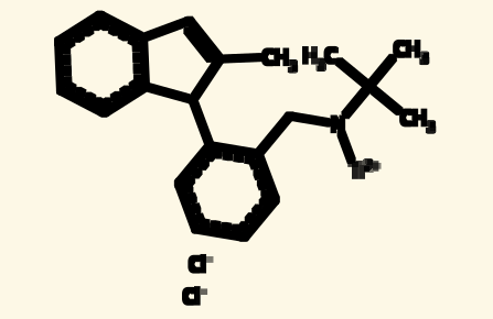 CC1=Cc2ccccc2C1c1ccccc1C[N]([Ti+2])C(C)(C)C.[Cl-].[Cl-]